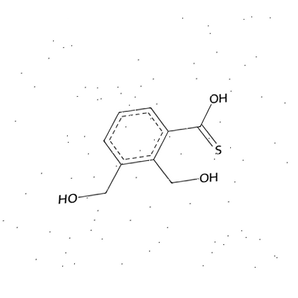 OCc1cccc(C(O)=S)c1CO